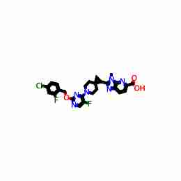 Cn1c(C2CC23CCN(c2nc(OCc4ccc(Cl)cc4F)ncc2F)CC3)nc2ccc(C(=O)O)nc21